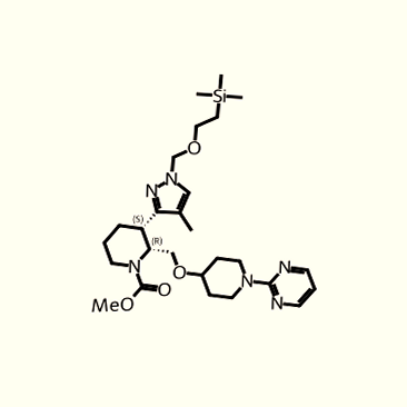 COC(=O)N1CCC[C@H](c2nn(COCC[Si](C)(C)C)cc2C)[C@@H]1COC1CCN(c2ncccn2)CC1